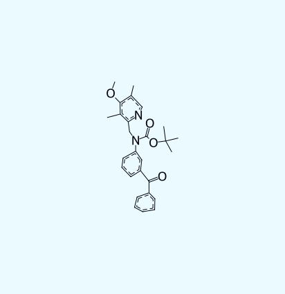 COc1c(C)cnc(CN(C(=O)OC(C)(C)C)c2cccc(C(=O)c3ccccc3)c2)c1C